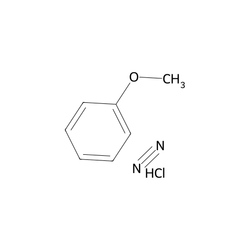 COc1ccccc1.Cl.N#N